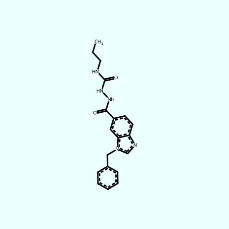 CCCNC(=O)NNC(=O)c1ccc2ncn(Cc3ccccc3)c2c1